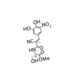 COC(=O)[C@H](CO)NC(=O)/C(C#N)=C/c1cc(O)c(O)c([N+](=O)[O-])c1